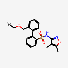 [2H]COCc1ccccc1-c1ccccc1S(=O)(=O)Nc1noc(C)c1C